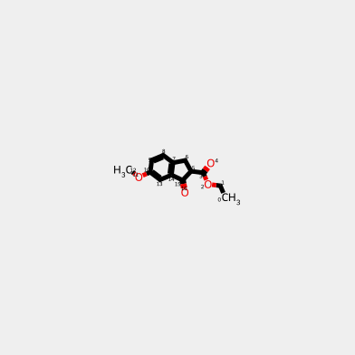 CCOC(=O)C1Cc2ccc(OC)cc2C1=O